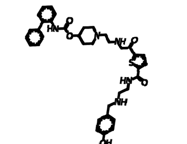 O=C(Nc1ccccc1-c1ccccc1)OC1CCN(CCNCC(=O)c2ccc(C(=O)NCCNCc3ccc(O)cc3)s2)CC1